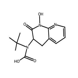 CC(C)(C)N(C(=O)O)C1Cc2cccnc2N(O)C1=O